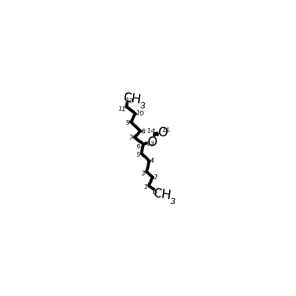 CCCCCCC(CCCCCC)O[C]=O